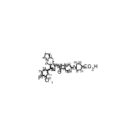 CC1CCCN1Cc1sc(NC(=O)c2cnc(N3CCC(C(=O)O)CC3)cn2)nc1-c1ccc(F)c(C(F)(F)F)c1